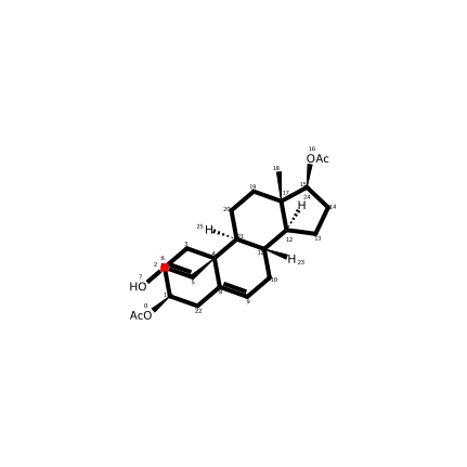 CC(=O)O[C@H]1CC[C@@]2(C=NO)C(=CC[C@H]3[C@@H]4CC[C@H](OC(C)=O)[C@@]4(C)CC[C@@H]32)C1